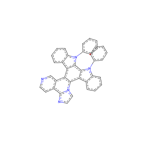 c1ccc(-n2c3ccccc3c3c4c5cnccc5c5nccn5c4c4c5ccccc5n(-c5ccccc5)c4c32)cc1